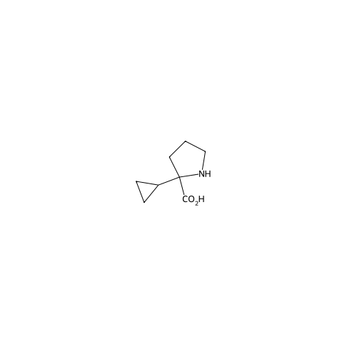 O=C(O)C1(C2CC2)CCCN1